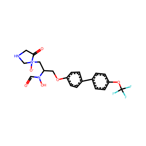 O=CN(O)C(COc1ccc(-c2ccc(OC(F)(F)F)cc2)cc1)C[N+]1([O-])CNCC1=O